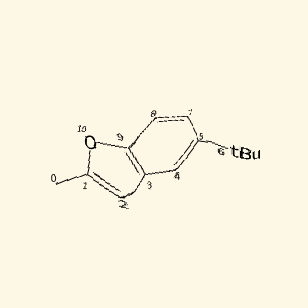 Cc1cc2cc(C(C)(C)C)ccc2o1